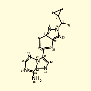 CC(C1CC1)n1nc2ccc(-c3cnc4c(N)ncnn34)cc2n1